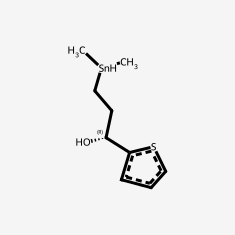 [CH3][SnH]([CH3])[CH2]C[C@@H](O)c1cccs1